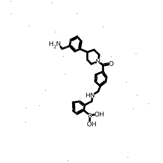 NCc1cccc(C2CCN(C(=O)c3ccc(CNCc4ccccc4B(O)O)cc3)CC2)c1